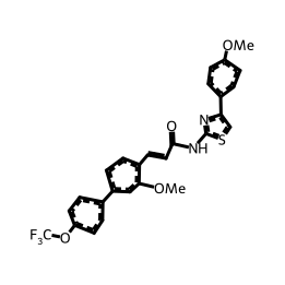 COc1ccc(-c2csc(NC(=O)C=Cc3ccc(-c4ccc(OC(F)(F)F)cc4)cc3OC)n2)cc1